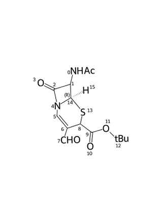 CC(=O)NC1C(=O)N2C=C(C=O)C(C(=O)OC(C)(C)C)S[C@H]12